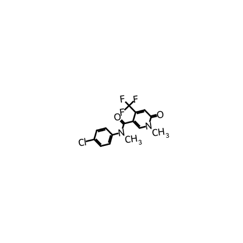 CN(C(=O)c1cn(C)c(=O)cc1C(F)(F)F)c1ccc(Cl)cc1